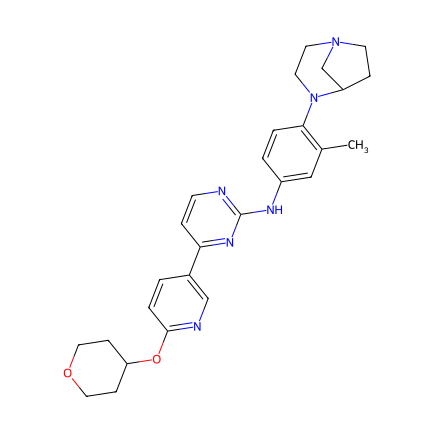 Cc1cc(Nc2nccc(-c3ccc(OC4CCOCC4)nc3)n2)ccc1N1CCN2CCC1C2